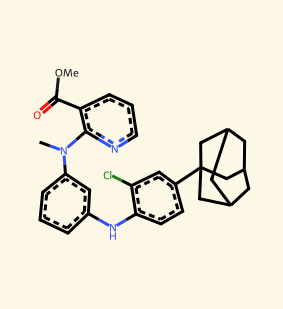 COC(=O)c1cccnc1N(C)c1cccc(Nc2ccc(C34CC5CC(CC(C5)C3)C4)cc2Cl)c1